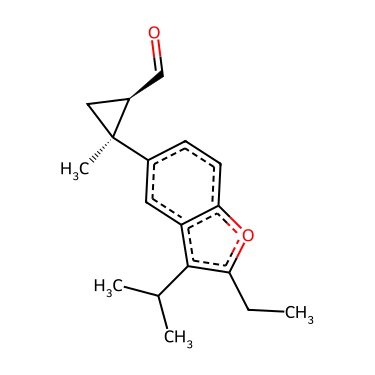 CCc1oc2ccc([C@@]3(C)C[C@H]3C=O)cc2c1C(C)C